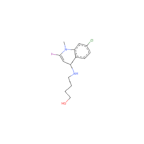 CN1C(I)=CC(NCCCCO)c2ccc(Cl)cc21